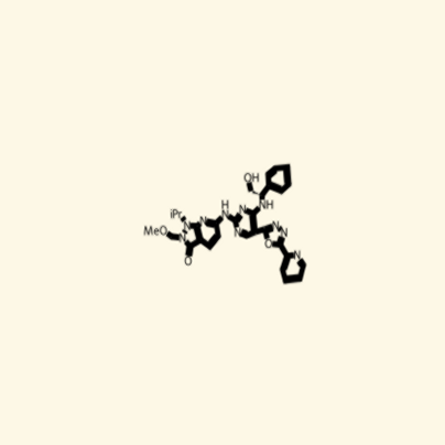 COCn1c(=O)c2ccc(Nc3ncc(-c4nnc(-c5ccccn5)o4)c(N[C@H](CO)c4ccccc4)n3)nc2n1C(C)C